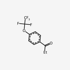 CCC(=O)c1ccc(OC(F)(F)C(F)(F)F)cc1